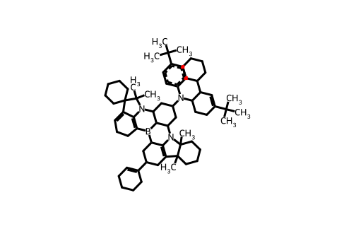 CC(C)(C)C1=CC(C2CCCCC2)C(N(c2ccc(C(C)(C)C)cc2)C2CC3C4B(C5=C6C(=CCC5)C5(CCCCC5)C(C)(C)N63)C3CC(C5=CCCCC5)CC5=C3N(C4C2)C2(C)CCCCC52C)CC1